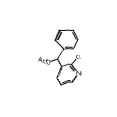 CC(=O)OC(c1ccccc1)c1cccnc1Cl